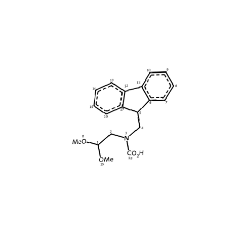 COC(CN(CC1c2ccccc2-c2ccccc21)C(=O)O)OC